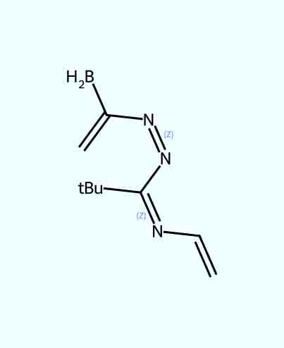 BC(=C)/N=N\C(=N/C=C)C(C)(C)C